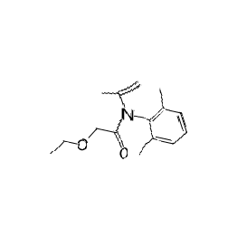 C=C(C)N(C(=O)COCC)c1c(C)cccc1C